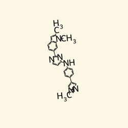 Cc1cc2ccc(-c3nccc(Nc4ccc(-c5cnn(C)c5)cc4)n3)cc2n1C